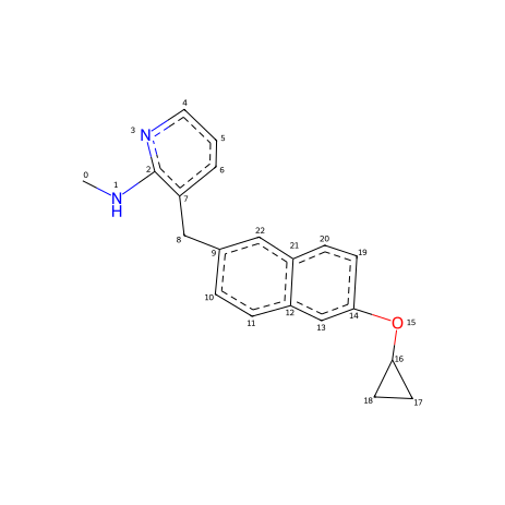 CNc1ncccc1Cc1ccc2cc(OC3CC3)ccc2c1